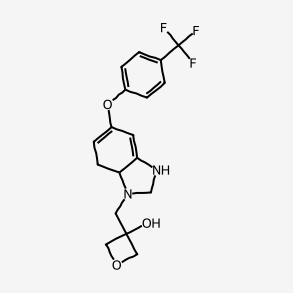 OC1(CN2CNC3=CC(Oc4ccc(C(F)(F)F)cc4)=CCC32)COC1